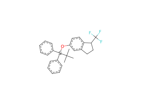 CC(C)(C)[Si](Oc1ccc2c(c1)CCC2C(F)(F)F)(c1ccccc1)c1ccccc1